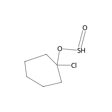 O=[SH]OC1(Cl)CCCCC1